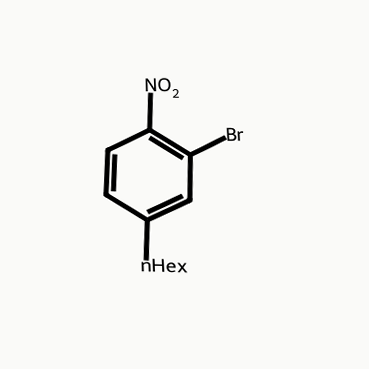 CCCCCCc1ccc([N+](=O)[O-])c(Br)c1